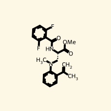 C=C(C)c1ccccc1N(C)C[C@H](NC(=O)c1c(F)cccc1F)C(=O)OC